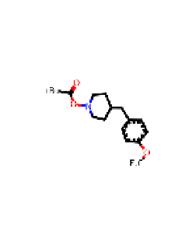 CC(C)(C)C(=O)ON1CCC(Cc2ccc(OC(F)(F)F)cc2)CC1